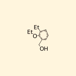 CCOc1c(CC)cccc1CO